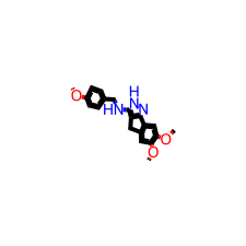 COc1ccc(CNc2[nH]nc3c2Cc2cc(OC)c(OC)cc2-3)cc1